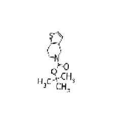 CC(C)(C)OC(=O)N1CCc2sccc2C1